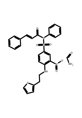 NC=O.O=C(C=Cc1ccccc1)N(c1ccccc1)S(=O)(=O)c1ccc(NCCc2cccs2)c([N+](=O)[O-])c1